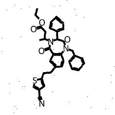 CCOC(=O)CC(C)N1C(=O)c2cc(CCc3cc(C#N)cs3)ccc2N(Cc2ccccc2)C(=O)C1c1ccccc1